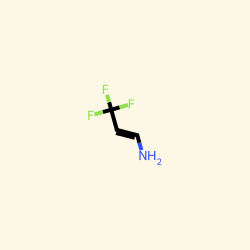 NC=CC(F)(F)F